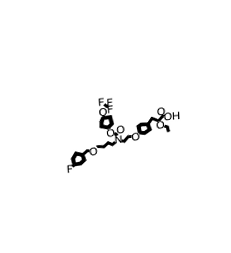 CCOC(Cc1ccc(OCCN(CCCCOCc2ccc(F)cc2)C(=O)Oc2ccc(OC(F)(F)F)cc2)cc1)C(=O)O